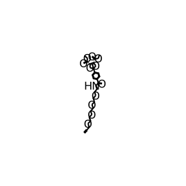 C#CCOCCOCCOCCOCCNC(=O)c1ccc(C2O[C@@H](C(=O)OC)[C@H](C(=O)OC)O2)cc1